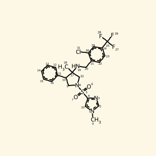 Cn1cnc(S(=O)(=O)N2CC(c3ccccc3)C(C)(NCc3ccc(C(F)(F)F)cc3Cl)C2)c1